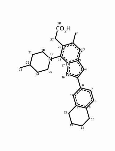 Cc1nc2cc(-c3ccc4c(c3)CCCC4)nn2c(N2CCC(C)CC2)c1CC(=O)O